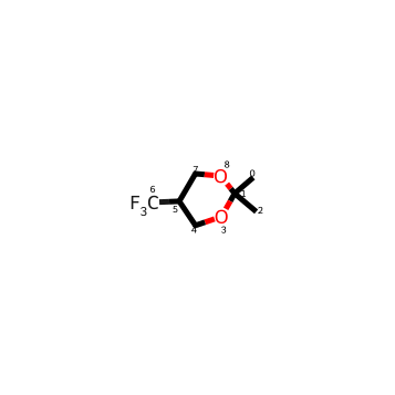 CC1(C)OCC(C(F)(F)F)CO1